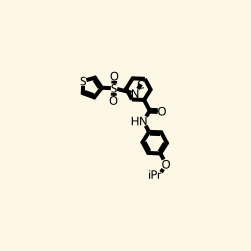 CC(C)Oc1ccc(NC(=O)C2CC3CCC2N(S(=O)(=O)c2ccsc2)C3)cc1